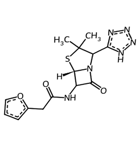 CC1(C)S[C@H]2C(NC(=O)Cc3ccco3)C(=O)N2C1c1nnn[nH]1